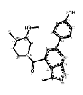 CN[C@H]1CN(C(=O)c2cc(-c3ccc(O)cc3)nc3[nH]nc(C)c23)CC[C@H]1C